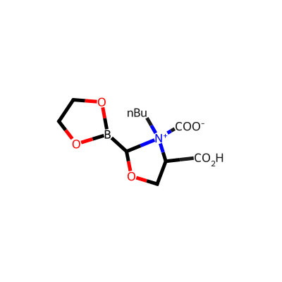 CCCC[N+]1(C(=O)[O-])C(B2OCCO2)OCC1C(=O)O